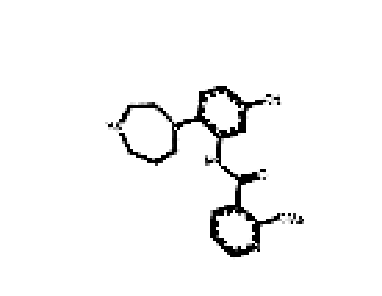 COc1ncccc1C(=O)Nc1cc(C#N)ccc1N1CCCNCC1